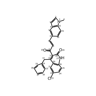 Cn1ccc2cc(/C=C/C(=O)c3c(Cc4ccccc4)c4cc(Cl)ccc4[nH]c3=O)ccc21